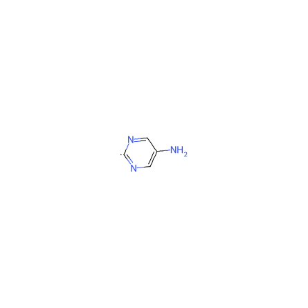 Nc1cn[c]nc1